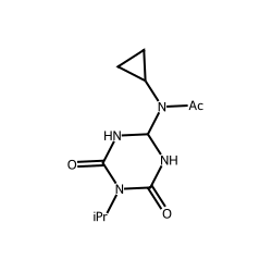 CC(=O)N(C1CC1)C1NC(=O)N(C(C)C)C(=O)N1